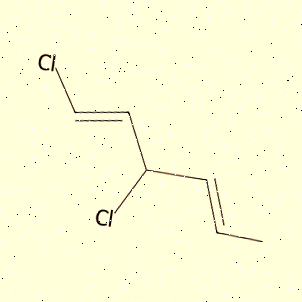 CC=CC(Cl)C=CCl